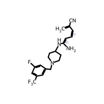 C=C(C#N)/C=C\C=C(/N)NC1CCN(Cc2cc(F)cc(C(F)(F)F)c2)CC1